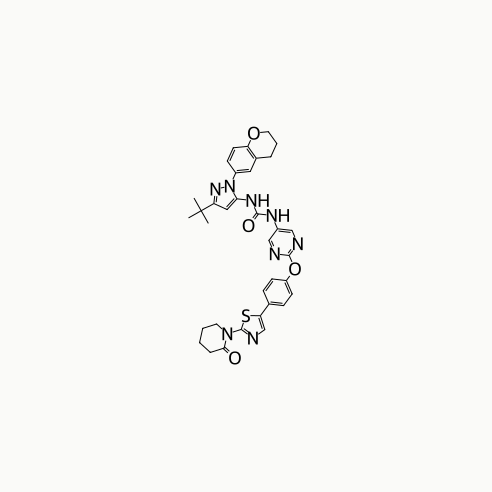 CC(C)(C)c1cc(NC(=O)Nc2cnc(Oc3ccc(-c4cnc(N5CCCCC5=O)s4)cc3)nc2)n(-c2ccc3c(c2)CCCO3)n1